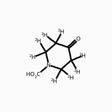 [2H]C1([2H])C(=O)C([2H])([2H])C([2H])([2H])N(C(=O)O)C1([2H])[2H]